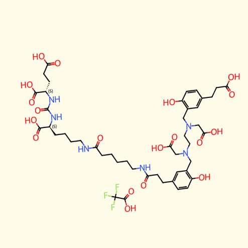 O=C(O)C(F)(F)F.O=C(O)CCc1ccc(O)c(CN(CCN(CC(=O)O)Cc2cc(CCC(=O)NCCCCCC(=O)NCCCC[C@H](NC(=O)N[C@@H](CCC(=O)O)C(=O)O)C(=O)O)ccc2O)CC(=O)O)c1